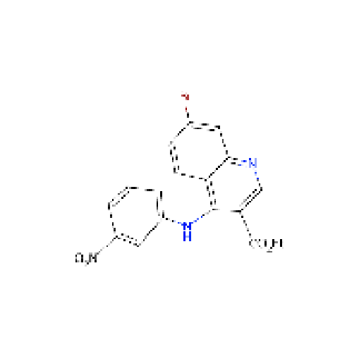 CCOC(=O)c1cnc2cc(Br)ccc2c1Nc1cccc([N+](=O)[O-])c1